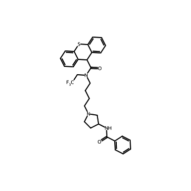 O=C(NC1CCN(CCCCN(CC(F)(F)F)C(=O)C2c3ccccc3Sc3ccccc32)C1)c1ccccc1